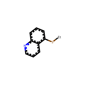 CCSc1cccc2ncccc12